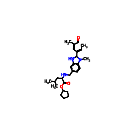 C/C=C(\C=C(\C)C=O)C1Nc2cc(CNC(CC(C)C)C(=O)OC3CCCC3)ccc2N1C